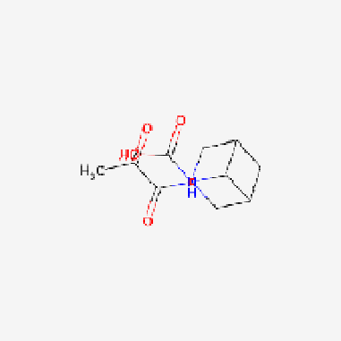 CC(=O)C(=O)N1CC2CC(C1)C2NC(=O)O